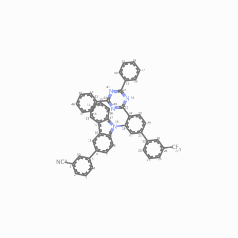 N#Cc1cccc(-c2ccc3c(c2)c2ccccc2n3-c2cc(-c3cccc(C(F)(F)F)c3)ccc2-c2nc(-c3ccccc3)nc(-c3ccccc3)n2)c1